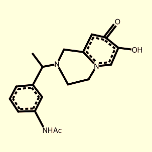 CC(=O)Nc1cccc(C(C)N2CCn3cc(O)c(=O)cc3C2)c1